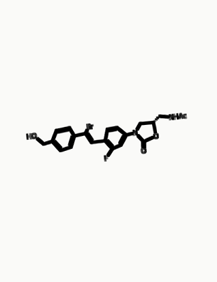 CC(=O)NC[C@H]1CN(c2ccc(C=C(Br)c3ccc(CO)cc3)c(F)c2)C(=O)O1